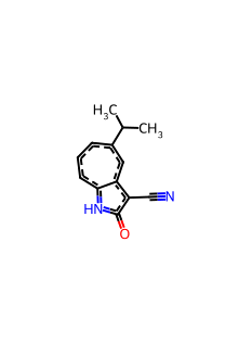 CC(C)c1cccc2[nH]c(=O)c(C#N)c-2c1